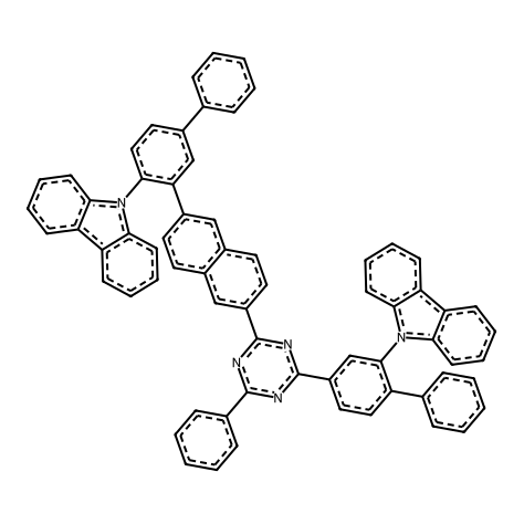 c1ccc(-c2ccc(-n3c4ccccc4c4ccccc43)c(-c3ccc4cc(-c5nc(-c6ccccc6)nc(-c6ccc(-c7ccccc7)c(-n7c8ccccc8c8ccccc87)c6)n5)ccc4c3)c2)cc1